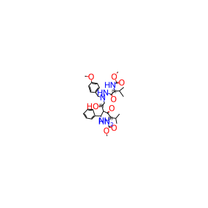 COC(=O)N[C@H](C(=O)NN(Cc1ccc(OC)cc1)C[C@H](O)C(C(=O)[C@@H](NC(=O)OC)C(C)C)C(N)c1ccccc1)C(C)C